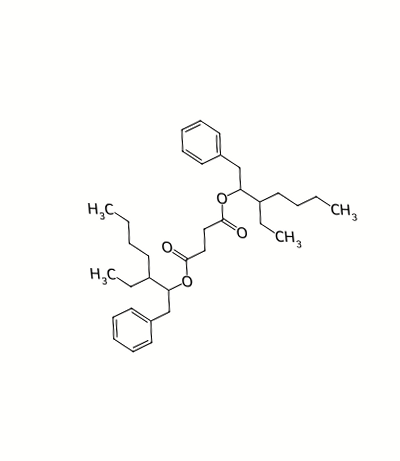 CCCCC(CC)C(Cc1ccccc1)OC(=O)CCC(=O)OC(Cc1ccccc1)C(CC)CCCC